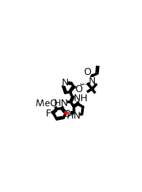 C=CC(=O)N1CC(C)(C)[C@@H]1COc1cnccc1-c1[nH]c2c(c1Nc1cccc(F)c1OC)C(=O)NCC2